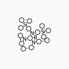 c1ccc(-c2cccc(N3c4ccc(-c5ccccc5)cc4B4c5cc([Si](c6ccccc6)(c6ccccc6)c6ccccc6)ccc5N(c5ccc([Si](c6ccccc6)(c6ccccc6)c6ccccc6)cc5)c5cc(-n6c7ccccc7c7ccccc76)cc3c54)c2)cc1